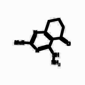 CSc1nc2c(c(NN)n1)C(=O)CCC2